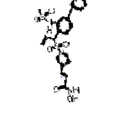 C=CC(c1ccc(-c2ccccc2)cc1NS(C)(=O)=O)S(=O)(=O)n1ccc(/C=C/C(=O)NO)c1